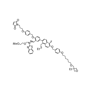 CCSCc1c(-c2ccc(OCc3ccc(OCCCN4C(=O)C=CC4=O)cc3)c(/C=N/N(COCCOC)c3nc4ccccc4s3)c2)ccc2c(F)c(OCc3ccc(OCCCCCCOCC4(CC)COC4)cc3)ccc12